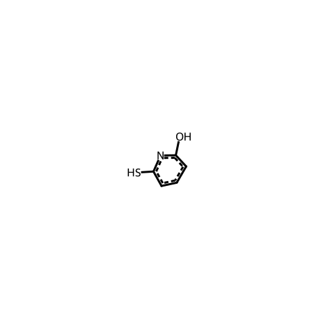 Oc1cccc(S)n1